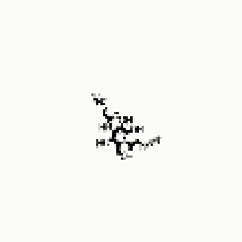 [N-]=[N+]=NCC(=O)N[C@@H]([C@H](O)[C@@H](C=O)NC(=O)CN=[N+]=[N-])[C@H](O)CO